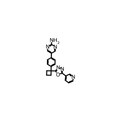 Nc1ncc(-c2ccc(C3(c4nnc(-c5cccnc5)o4)CCC3)cc2)cn1